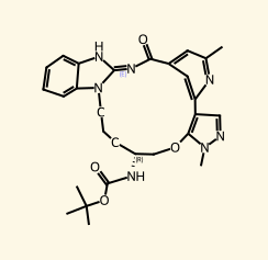 Cc1cc2cc(n1)-c1cnn(C)c1OC[C@H](NC(=O)OC(C)(C)C)CCCN1/C(=N/C2=O)Nc2ccccc21